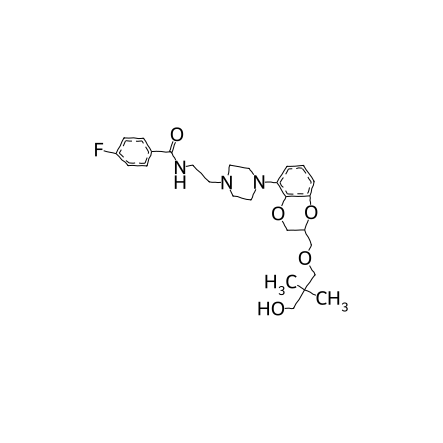 CC(C)(CO)COCC1COc2c(cccc2N2CCN(CCNC(=O)c3ccc(F)cc3)CC2)O1